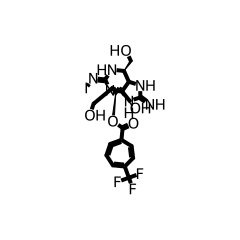 N=C1NC2[C@H](CO)N/C(=N/I)N3C(CO)[C@H](OC(=O)C4=C=CC=C(C(F)(F)F)C=C4)C(O)C23N1